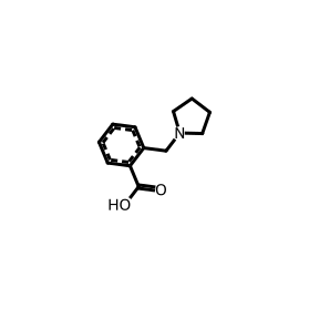 O=C(O)c1ccccc1CN1CCCC1